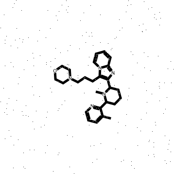 Cc1cccnc1C1CCCC(c2nc3ccccn3c2CCCN2CCOCC2)N1C